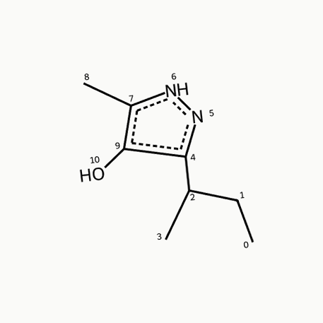 CCC(C)c1n[nH]c(C)c1O